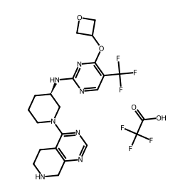 FC(F)(F)c1cnc(N[C@@H]2CCCN(c3ncnc4c3CCNC4)C2)nc1OC1COC1.O=C(O)C(F)(F)F